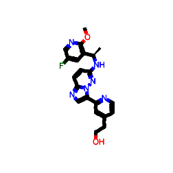 COc1ncc(F)cc1[C@@H](C)Nc1ccc2ncc(-c3cc(CCO)ccn3)n2n1